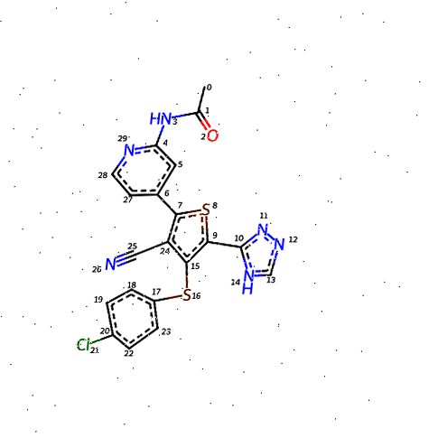 CC(=O)Nc1cc(-c2sc(-c3nnc[nH]3)c(Sc3ccc(Cl)cc3)c2C#N)ccn1